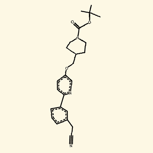 CC(C)(C)OC(=O)N1CCC(COc2ccc(-c3cccc(CC#N)c3)nc2)CC1